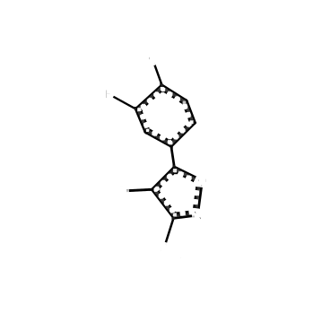 O=C(O)c1noc(-c2ccc(C(F)(F)F)c(F)c2)c1Cl